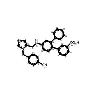 N#Cc1ccc(Cn2cncc2CNc2ccc(-c3cccc(C(=O)O)c3)c(-c3ccccc3)c2)cc1